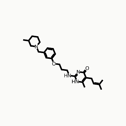 CC(C)=CCc1c(C)[nH]c(NCCCOc2cccc(CN3CCCC(C)C3)c2)nc1=O